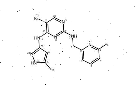 Cc1cccc(CNc2ncc(Br)c(Nc3cc(C)[nH]n3)n2)n1